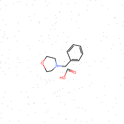 O=CO.c1ccc(CN2CCOCC2)cc1